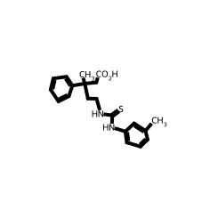 Cc1cccc(NC(=S)NCCC(C)(CC(=O)O)c2ccccc2)c1